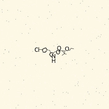 CCCOC1C(C(=O)OCc2[nH]ccc2Cc2ccc(Cl)cc2)C1(C)C